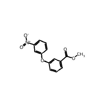 COC(=O)c1cccc(Oc2cccc([N+](=O)[O-])c2)c1